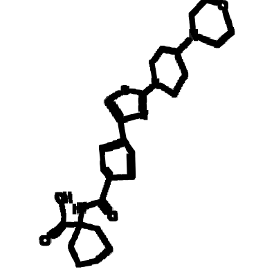 O=C(NC1(C(=O)O)CCCCC1)c1ccc(-c2csc(N3CCC(N4CCOCC4)CC3)n2)cc1